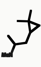 CNC(C)CC1CC1(C)C